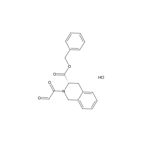 Cl.O=CC(=O)N1Cc2ccccc2C[C@H]1C(=O)OCc1ccccc1